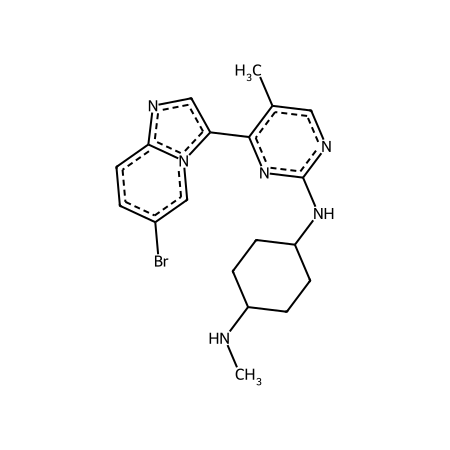 CNC1CCC(Nc2ncc(C)c(-c3cnc4ccc(Br)cn34)n2)CC1